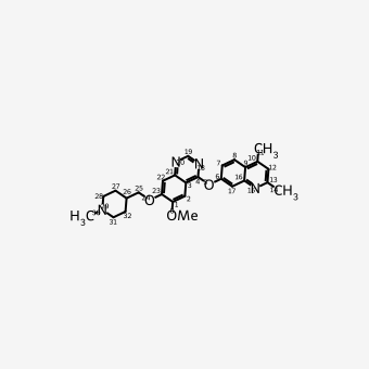 COc1cc2c(Oc3ccc4c(C)cc(C)nc4c3)ncnc2cc1OCC1CCN(C)CC1